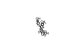 CC[C@@]1(O)C(=O)OCc2c1cc1n(c2=O)Cc2c-1nc1cc(F)c(C)cc1c2CN1CCC2(CC1)CC(O)C2